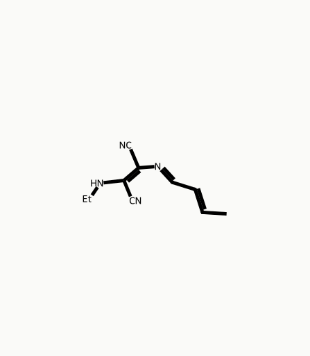 CC=CC=NC(C#N)=C(C#N)NCC